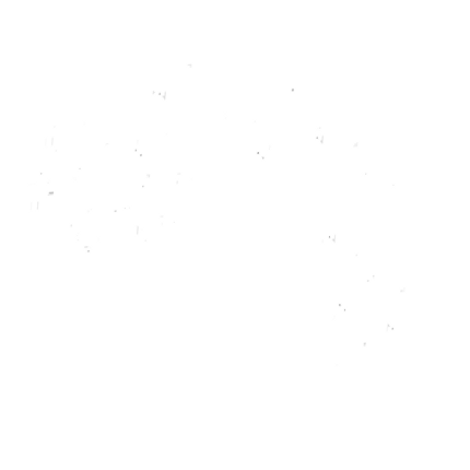 BC1(B)N(c2cc(C(=O)Nc3cc4nc(-c5cnc(C)n5C)ccc4cn3)ccn2)C(B)(B)C(B)(B)C(B)(B)C1(B)B